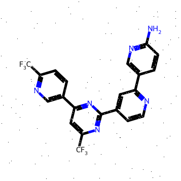 Nc1ccc(-c2cc(-c3nc(-c4ccc(C(F)(F)F)nc4)cc(C(F)(F)F)n3)ccn2)cn1